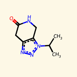 CC(C)n1nnc2c1CNC(=O)C2